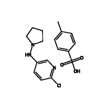 Cc1ccc(S(=O)(=O)O)cc1.Clc1ccc(NN2CCCC2)cn1